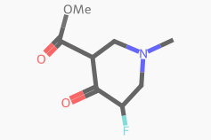 COC(=O)C1CN(C)CC(F)C1=O